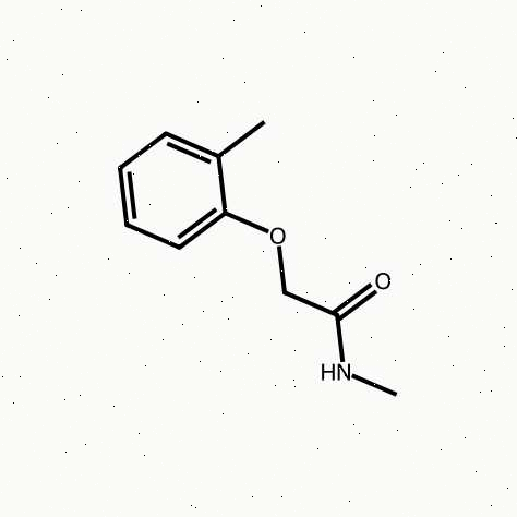 CNC(=O)COc1ccccc1C